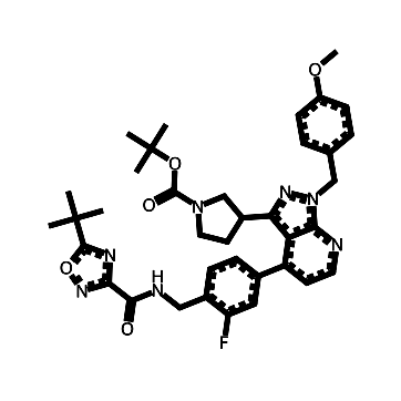 COc1ccc(Cn2nc(C3CCN(C(=O)OC(C)(C)C)C3)c3c(-c4ccc(CNC(=O)c5noc(C(C)(C)C)n5)c(F)c4)ccnc32)cc1